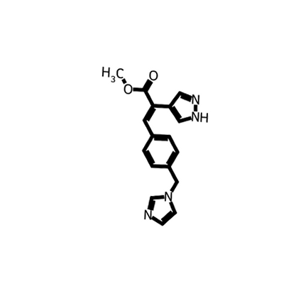 COC(=O)/C(=C/c1ccc(Cn2ccnc2)cc1)c1cn[nH]c1